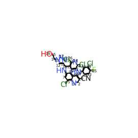 N#Cc1cnc2c(Cl)cc(N[C@H](c3cn(CCO)nn3)c3ccc(Cl)nc3Cl)cc2c1Nc1ccc(F)c(Cl)c1